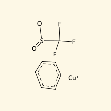 O=S([O-])C(F)(F)F.[Cu+].c1ccccc1